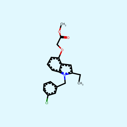 CCc1cc2c(OCC(=O)OC)cccc2n1Cc1cccc(Cl)c1